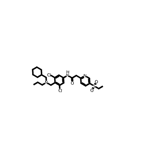 CCCN(Cc1c(Cl)cc(NC(=O)Cc2ccc(S(=O)(=O)CC)cn2)cc1Cl)CC1CCCCC1